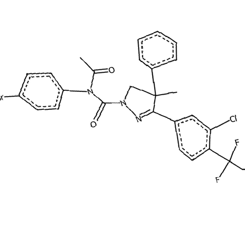 CC(=O)N(C(=O)N1CC(C)(c2ccccc2)C(c2ccc(C(F)(F)F)c(Cl)c2)=N1)c1ccc(Br)cc1